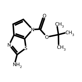 CC(C)(C)OC(=O)n1ccc2nc(N)sc21